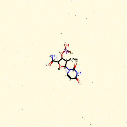 COC1C(O[PH](O)=S)C(C(N)=O)OC1n1ccc(=O)[nH]c1=O